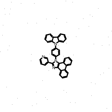 c1cncc(-c2nc3c4ccccc4c4ccccc4c3n2-c2ccc(-n3c4ccccc4c4ccccc43)cc2)c1